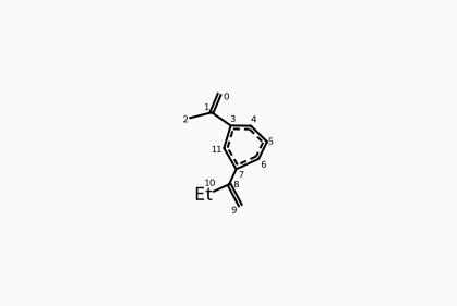 C=C(C)c1cccc(C(=C)CC)c1